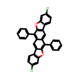 Clc1ccc2c(c1)oc1c(-c3ccccc3)c3cc4c(oc5cc(Cl)ccc54)c(-c4ccccc4)c3cc12